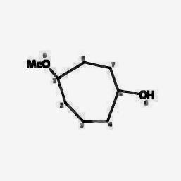 COC1CCCC(O)CC1